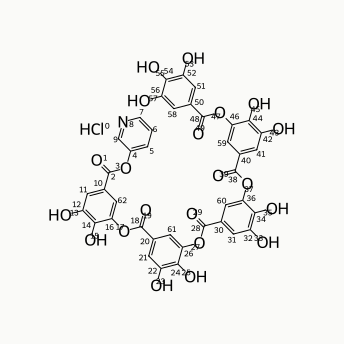 Cl.O=C(Oc1cccnc1)c1cc(O)c(O)c(OC(=O)c2cc(O)c(O)c(OC(=O)c3cc(O)c(O)c(OC(=O)c4cc(O)c(O)c(OC(=O)c5cc(O)c(O)c(O)c5)c4)c3)c2)c1